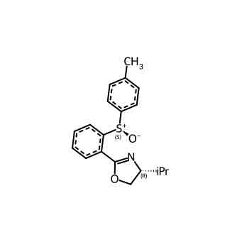 Cc1ccc([S@@+]([O-])c2ccccc2C2=N[C@H](C(C)C)CO2)cc1